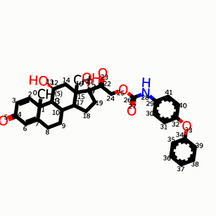 CC12C=CC(=O)C=C1CCC1C2[C@@H](O)CC2(C)C1CC[C@]2(O)C(=O)COC(=O)Nc1ccc(Oc2ccccc2)cc1